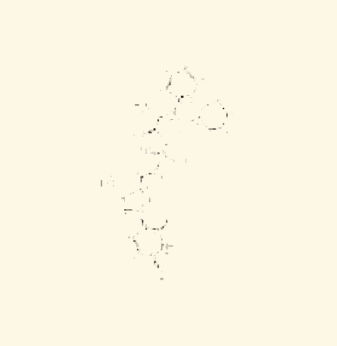 C[C@@H](C(=O)OP(=O)(O)OC[C@H]1O[C@@H](n2cc(F)c(=O)[nH]c2=O)C[C@@H]1O)N(OC1CCCCC1)c1ccccc1